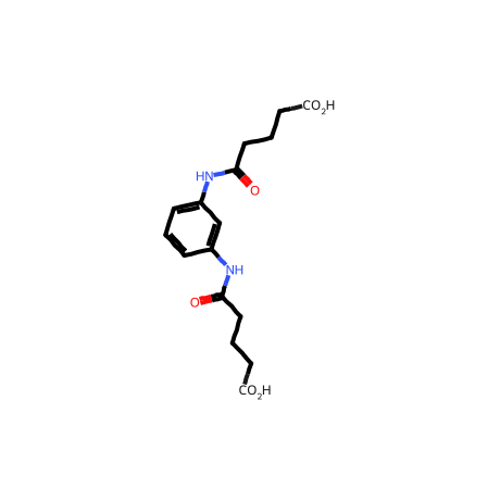 O=C(O)CCCC(=O)Nc1cccc(NC(=O)CCCC(=O)O)c1